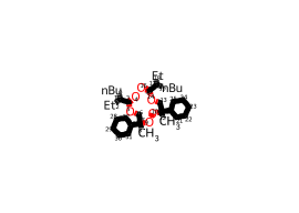 CCCCC(CC)C(=O)OCC(C)(OOC(C)(COC(=O)C(CC)CCCC)C1CCCCC1)C1CCCCC1